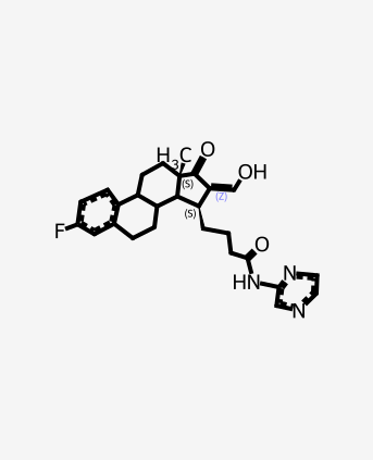 C[C@]12CCC3c4ccc(F)cc4CCC3C1[C@H](CCCC(=O)Nc1cnccn1)/C(=C/O)C2=O